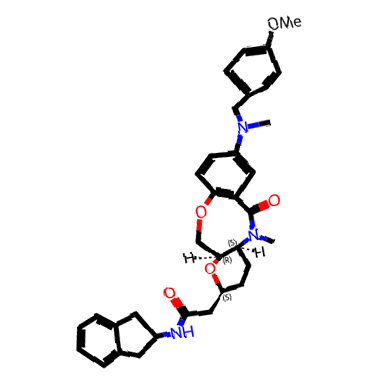 COc1ccc(CN(C)c2ccc3c(c2)C(=O)N(C)[C@H]2CC[C@@H](CC(=O)NC4Cc5ccccc5C4)O[C@H]2CO3)cc1